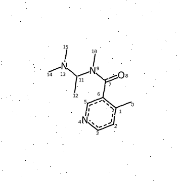 Cc1ccncc1C(=O)N(C)C(C)N(C)C